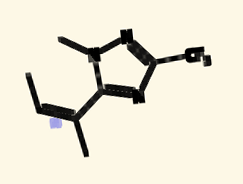 C/C=C(/C)c1nc(C(F)(F)F)nn1C